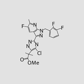 COC(=O)C(C)(C)c1nnc(-c2nn(Cc3cccc(F)c3F)c3nc(C)c(F)cc23)nc1Cl